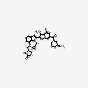 Cc1c(-c2cc3cccc(OCC4CCC(=O)N4)c3n2CC2CC2)nn2cc(C(=O)N3CCCC(N)C3)cc(F)c12